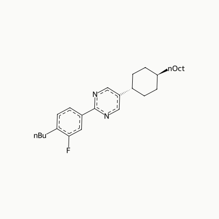 CCCCCCCC[C@H]1CC[C@H](c2cnc(-c3ccc(CCCC)c(F)c3)nc2)CC1